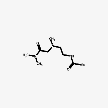 CN(CCNC(=O)C(C)(C)C)CC(=O)N(C)C